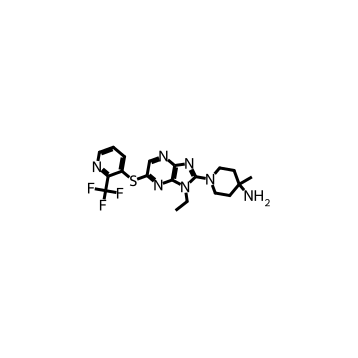 CCn1c(N2CCC(C)(N)CC2)nc2ncc(Sc3cccnc3C(F)(F)F)nc21